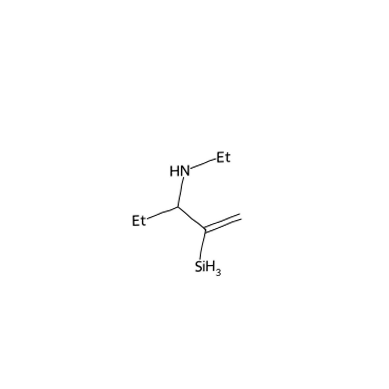 C=C([SiH3])C(CC)NCC